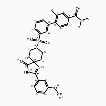 Cc1cc(C(=O)N(C)C)ccc1-c1cccc(S(=O)(=O)N2CCC3(CC2)N=C(c2cccc(OC(F)(F)F)c2)NC3=O)c1